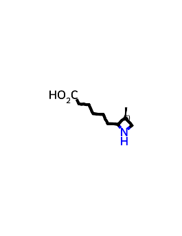 C[C@H]1CNC1CCCCCC(=O)O